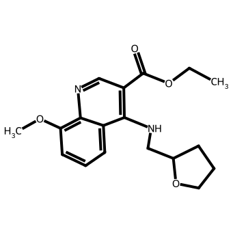 CCOC(=O)c1cnc2c(OC)cccc2c1NCC1CCCO1